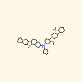 CC1(C)c2ccccc2-c2cc3c(cc21)-c1ccc(N(c2ccccc2)c2ccc4c5c(ccc4c2)-c2cc4ccccc4cc2C5(C)C)cc1C3(C)C